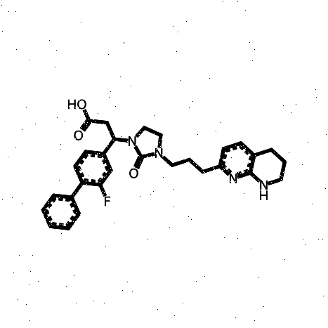 O=C(O)CC(c1ccc(-c2ccccc2)c(F)c1)N1CCN(CCCc2ccc3c(n2)NCCC3)C1=O